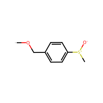 [CH2]OCc1ccc([S+](C)[O-])cc1